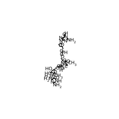 COP(=O)(OC(COOPOCC1CCC(n2cnc3c(=O)[nH]c(N)nc32)O1)CO[PH](=O)OOC[C@H]1O[C@@H]([N+](C)(C)c2c(N)nc(N)[nH]c2=O)C(O)C1O)SC